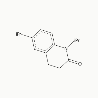 CC(C)c1ccc2c(c1)CCC(=O)N2C(C)C